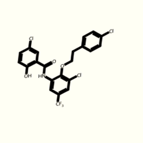 O=C(Nc1cc(C(F)(F)F)cc(Cl)c1OCCc1ccc(Cl)cc1)c1cc(Cl)ccc1O